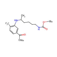 COC(=O)c1ccc(C(F)(F)F)c(NC(C)CCCCNC(=O)OC(C)(C)C)c1